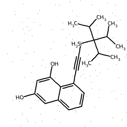 CC(C)C([SiH2]C#Cc1cccc2cc(O)cc(O)c12)(C(C)C)C(C)C